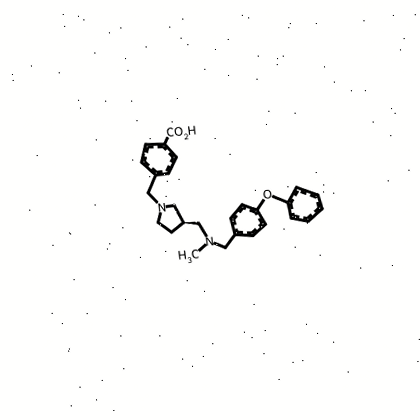 CN(Cc1ccc(Oc2ccccc2)cc1)C[C@H]1CCN(Cc2ccc(C(=O)O)cc2)C1